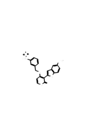 COc1ccc2[nH]c(-c3c(NCc4cccc(NS(C)(=O)=O)c4)cc[nH]c3=O)cc2c1